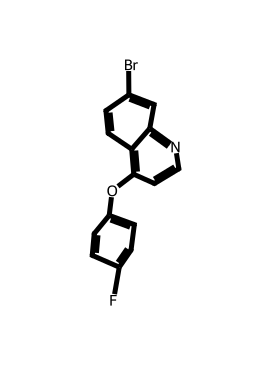 Fc1ccc(Oc2ccnc3cc(Br)ccc23)cc1